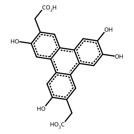 O=C(O)Cc1cc2c3cc(O)c(O)cc3c3cc(CC(=O)O)c(O)cc3c2cc1O